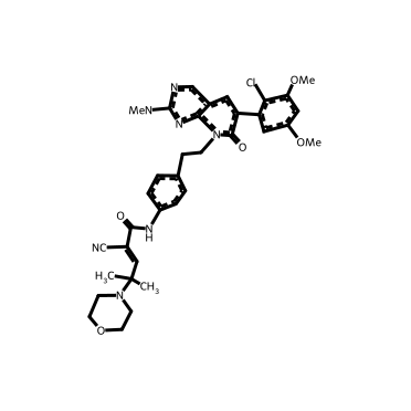 CNc1ncc2cc(-c3cc(OC)cc(OC)c3Cl)c(=O)n(CCc3ccc(NC(=O)C(C#N)=CC(C)(C)N4CCOCC4)cc3)c2n1